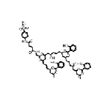 CC1CC(CCCC2CC(CC(O)CCCC3CC(CCCC(O)CC4C[C@H](C)OC(c5ccccc5O)O4)OC(c4ccccc4O)O3)OC(CNC(=O)CCC(=O)Nc3ccc(S(N)(=O)=O)cc3)O2)OC(c2ccccc2O)O1